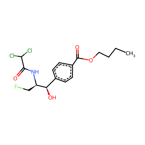 CCCCOC(=O)c1ccc([C@@H](O)[C@@H](CF)NC(=O)C(Cl)Cl)cc1